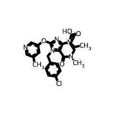 CCN(C=O)c1nc(Oc2cncc(C)c2)n(Cc2ccc(Cl)cc2)c1C(=O)N(C)CCCO